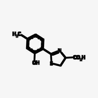 Cc1ccc(C2=NC(C(=O)O)CS2)c(O)c1